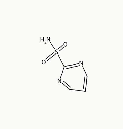 NS(=O)(=O)c1ncccn1